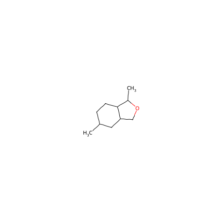 CC1CCC2C(COC2C)C1